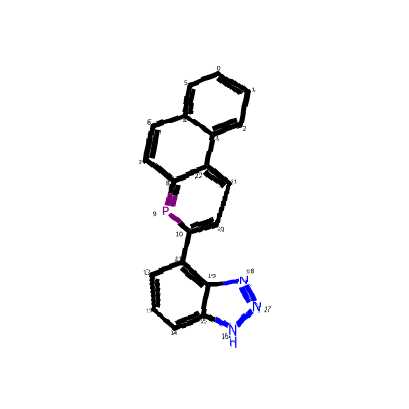 c1ccc2c(c1)ccc1pc(-c3cccc4[nH]nnc34)ccc12